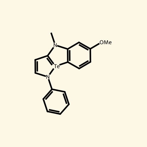 COc1ccc2c(c1)N(C)C1=[Te]2N(c2ccccc2)C=C1